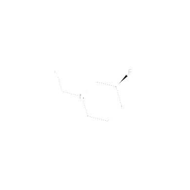 CC[C@H]1CCCN(CC(F)(F)F)C1